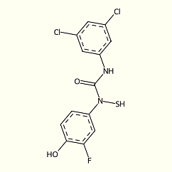 O=C(Nc1cc(Cl)cc(Cl)c1)N(S)c1ccc(O)c(F)c1